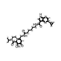 CC(C)N1CCn2c(CNC(=O)CCCCCNC(=O)c3c[nH]c4ncc(C5CC5)nc34)cc(=O)c(O)c2C1=O